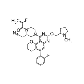 C=C(F)C(=O)N1CCN(c2nc(OCC3CCCN3C)nc3cc(-c4ccccc4F)c4c(c23)OCCC4)CC1CC#N